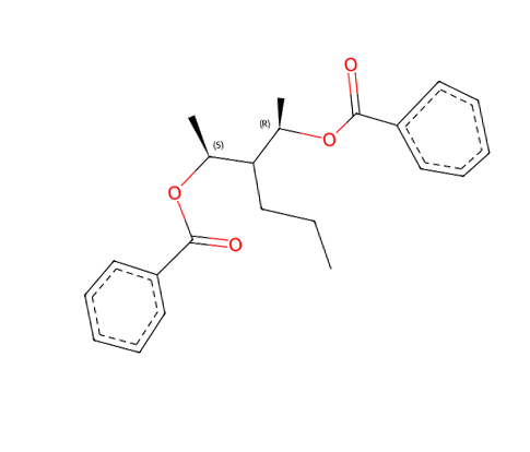 CCCC([C@H](C)OC(=O)c1ccccc1)[C@@H](C)OC(=O)c1ccccc1